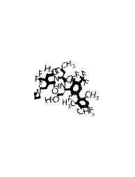 Cc1cc(F)c(C)c(C)c1-c1cc(C(F)(F)F)c(F)c([C@H](CC(=O)O)NC(=O)[C@H](CC(C)C)n2cc(CCN3CCC3)c(C(F)(F)F)cc2=O)c1F